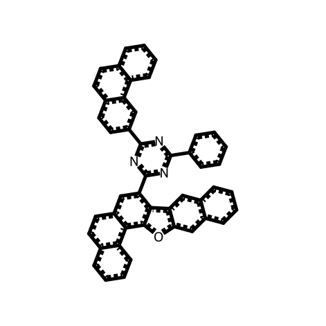 c1ccc(-c2nc(-c3ccc4ccc5ccccc5c4c3)nc(-c3cc4ccc5ccccc5c4c4oc5cc6ccccc6cc5c34)n2)cc1